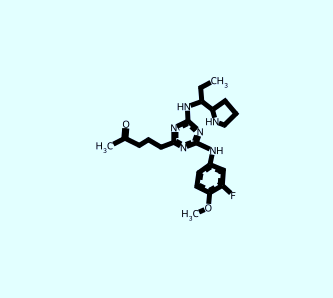 CCC(Nc1nc(CCCC(C)=O)nc(Nc2ccc(OC)c(F)c2)n1)C1CCCN1